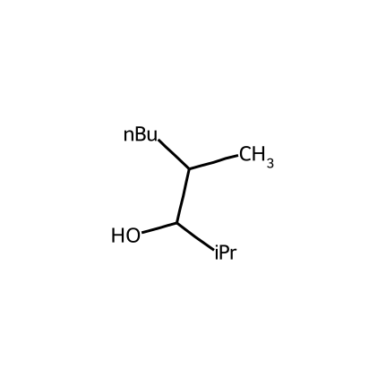 [CH2]C(C)C(O)C(C)CCCC